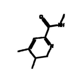 CNC(=O)C1=NCC(C)C(C)=C1